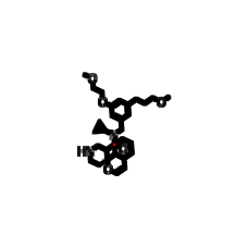 COCCCc1cc(CN(C(=O)C2CNCC[C@@]23OC=CC2C=CC=CC23)C2CC2)cc(OCCOC)c1